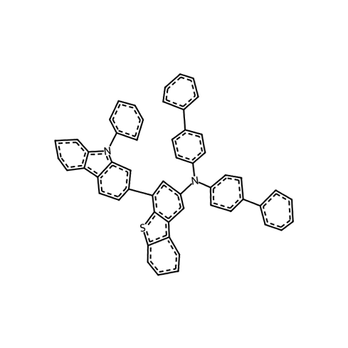 c1ccc(-c2ccc(N(c3ccc(-c4ccccc4)cc3)c3cc(-c4ccc5c6ccccc6n(-c6ccccc6)c5c4)c4sc5ccccc5c4c3)cc2)cc1